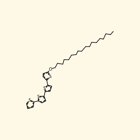 CCCCCCCCCCCCCCCCCCOc1ccc(-c2ccc(-c3ccc(-c4cccs4)s3)s2)s1